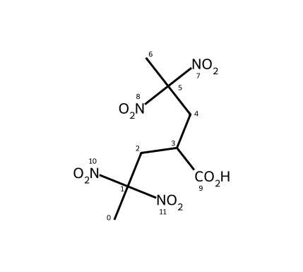 CC(CC(CC(C)([N+](=O)[O-])[N+](=O)[O-])C(=O)O)([N+](=O)[O-])[N+](=O)[O-]